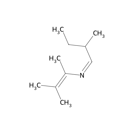 CCC(C)/C=N\C(C)=C(C)C